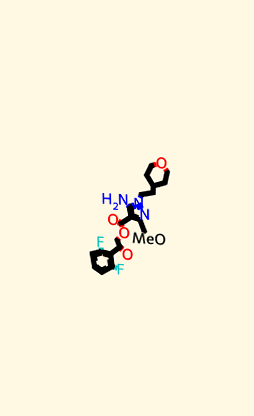 COCc1nn(CCC2CCOCC2)c(N)c1C(=O)OCC(=O)c1c(F)cccc1F